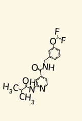 CC(C)C(=O)Nc1cc(C(=O)NCc2cccc(OC(F)F)c2)ccn1